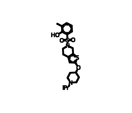 Cc1cccc(S(=O)(=O)N2CCc3cc(OC4CCN(C(C)C)CC4)sc3C2)c1O